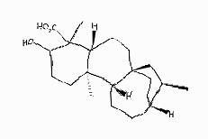 C[C@@H]1C[C@]23CC[C@H]4C(C)(C(=O)O)C(O)CC[C@]4(C)[C@H]2CC[C@@H]1C3